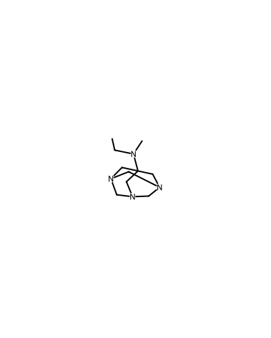 CCN(C)C12CN3CN(CN(C3)C1)C2